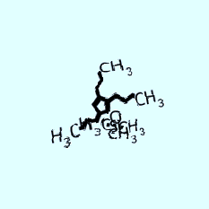 CCCCC1=CC(CCCC)C(O[Si](C)(C)C)=C1CCCC